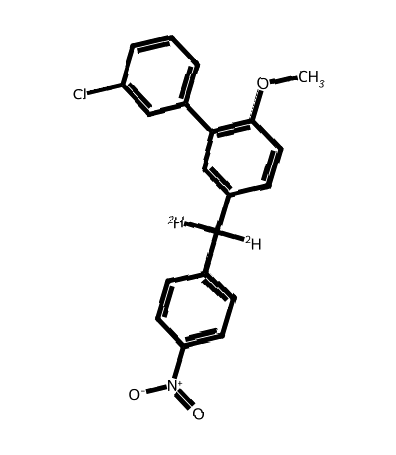 [2H]C([2H])(c1ccc([N+](=O)[O-])cc1)c1ccc(OC)c(-c2cccc(Cl)c2)c1